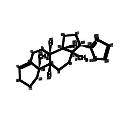 C[C@]12CC[C@H]3[C@@H](CCC4=CCCC[C@@]43C)[C@@H]1CC[C@@H]2c1nccs1